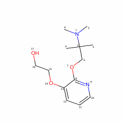 CN(C)C(C)(C)COc1ncccc1OCCO